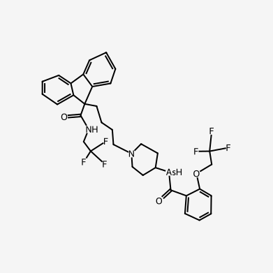 O=C([AsH]C1CCN(CCCCC2(C(=O)NCC(F)(F)F)c3ccccc3-c3ccccc32)CC1)c1ccccc1OCC(F)(F)F